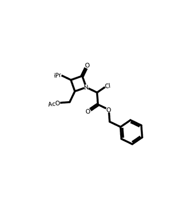 CC(=O)OCC1C(C(C)C)C(=O)N1C(Cl)C(=O)OCc1ccccc1